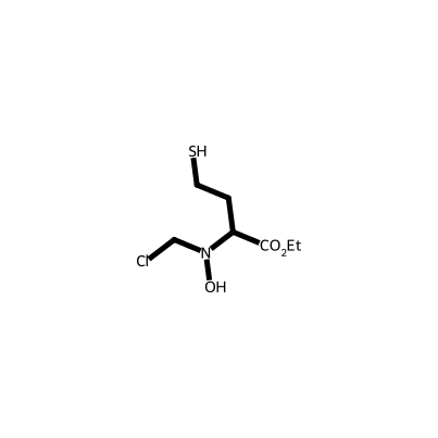 CCOC(=O)C(CCS)N(O)CCl